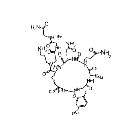 CC[C@H](C)[C@@H]1NC(=O)[C@H](Cc2ccc(O)cc2)NC(=O)CNC(=O)CC[C@@H](C(=O)N(CCCN)CC(=O)N[C@@H](CC(C)C)C(=O)NCC(N)=O)NC(=O)[C@H](CC(N)=O)NC(=O)[C@H](CCC(N)=O)NC1=O